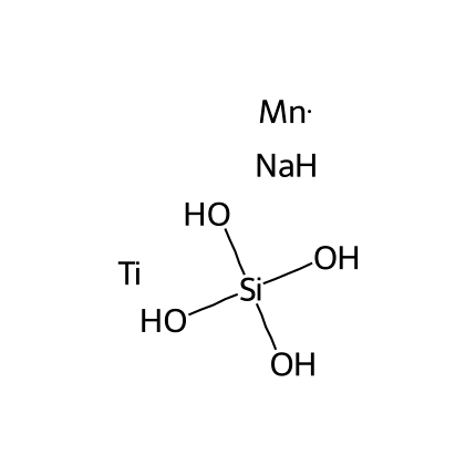 O[Si](O)(O)O.[Mn].[NaH].[Ti]